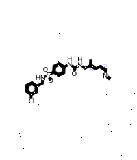 C=N/C=C\C=C(/C)CNC(=O)Nc1ccc(S(=O)(=O)NCc2cccc(Cl)c2)cc1